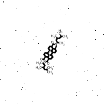 C=C(C)/C=C(C)\C=C(/C)N1C(=O)c2ccc3c4ccc5c6c(ccc(c7ccc(c2c37)C1=O)c64)C(=O)N(C(=C)/C=C(/C)C=C(C)C)C5